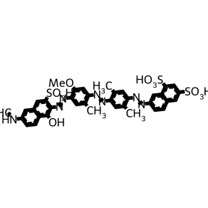 COc1cc(N=Nc2cc(C)c(N=Nc3ccc4cc(S(=O)(=O)O)cc(S(=O)(=O)O)c4c3)cc2C)c(C)cc1N=Nc1c(S(=O)(=O)O)cc2cc(NC=O)ccc2c1O